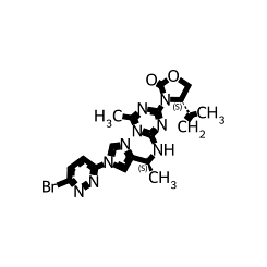 C=C(C)[C@H]1COC(=O)N1c1nc(C)nc(N[C@@H](C)c2cn(-c3ccc(Br)nn3)cn2)n1